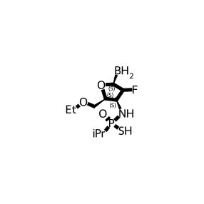 B[C@@H]1O[C@H](COCC)[C@H](NP(=O)(S)C(C)C)C1F